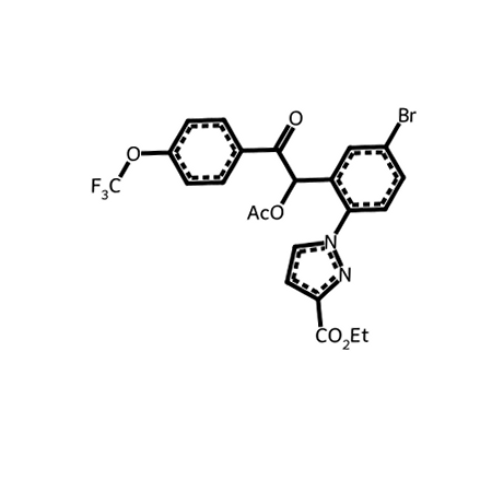 CCOC(=O)c1ccn(-c2ccc(Br)cc2C(OC(C)=O)C(=O)c2ccc(OC(F)(F)F)cc2)n1